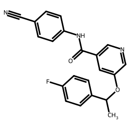 CC(Oc1cncc(C(=O)Nc2ccc(C#N)cc2)c1)c1ccc(F)cc1